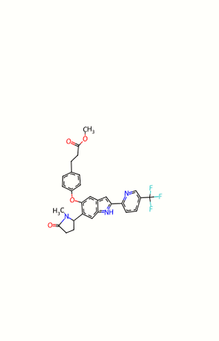 COC(=O)CCc1ccc(Oc2cc3cc(-c4ccc(C(F)(F)F)cn4)[nH]c3cc2C2CCC(=O)N2C)cc1